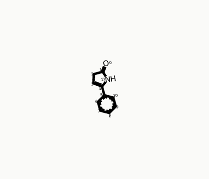 O=C1CC=C(c2ccccc2)N1